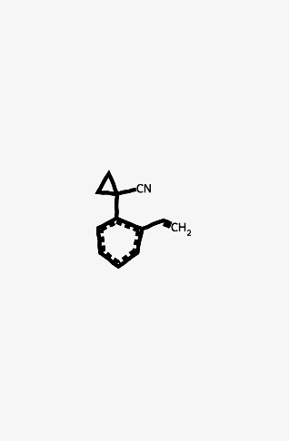 C=Cc1ccccc1C1(C#N)CC1